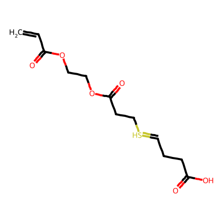 C=CC(=O)OCCOC(=O)CC[SH]=CCCC(=O)O